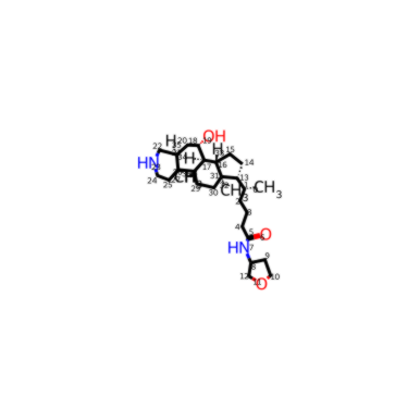 C[C@H](CCCC(=O)NC1CCOC1)[C@H]1CC[C@H]2[C@@H]3[C@@H](O)C[C@@H]4CNCC[C@]4(C)[C@H]3CC[C@]12C